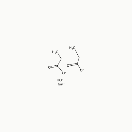 CCC(=O)[O-].CCC(=O)[O-].[Ga+3].[OH-]